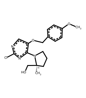 COc1ccc(COc2cnc(Cl)nc2N2CCC[C@@]2(C)CO)cc1